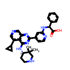 CC1(C)CNCC[C@@H]1Nc1nc(-c2ccnc(NC(C(=O)O)c3ccccc3)c2)nc2cncc(C3CC3)c12